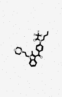 CCCCN(C(=O)C(F)(F)F)c1ccc(C(=O)c2c(C)n(CCN3CCOCC3)c3ccccc23)cc1